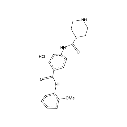 COc1ccccc1NC(=O)c1ccc(NC(=O)N2CCNCC2)cc1.Cl